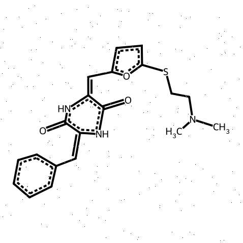 CN(C)CCSc1ccc(C=c2[nH]c(=O)c(=Cc3ccccc3)[nH]c2=O)o1